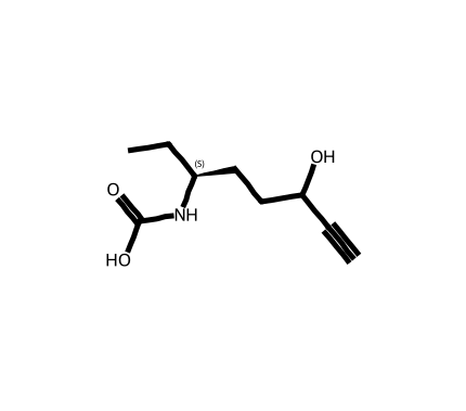 C#CC(O)CC[C@H](CC)NC(=O)O